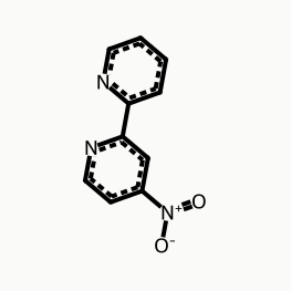 O=[N+]([O-])c1ccnc(-c2ccccn2)c1